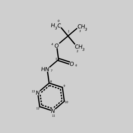 CC(C)(C)OC(=O)Nc1ccncn1